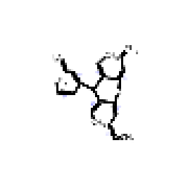 C=C/C=C1/OC(=C/C=C\C)/C(=C\C)C(C(/C=C\C)=C/C=C)/C1=C/C